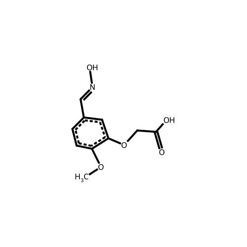 COc1ccc(C=NO)cc1OCC(=O)O